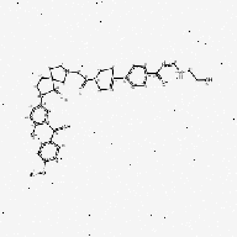 CC(C)Oc1ccc(C(=N)c2cc(N3CC[C@]4(CCN(CC(=O)N5CC=C(c6ccc(C(=N)/N=C\NCCO)cc6)CC5)C4)C3=O)ccc2N)cn1